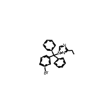 CCc1ncn(C(c2ccccc2)(c2ccccc2)c2cccc(Br)c2)n1